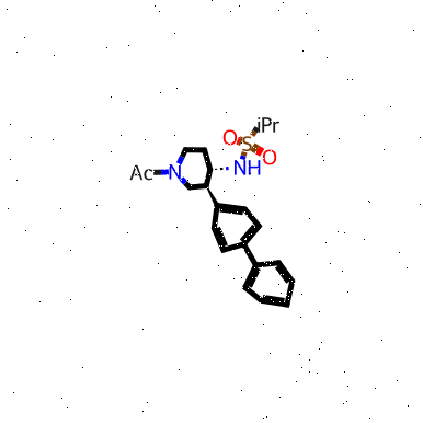 CC(=O)N1CC[C@H](NS(=O)(=O)C(C)C)[C@@H](c2ccc(-c3ccccc3)cc2)C1